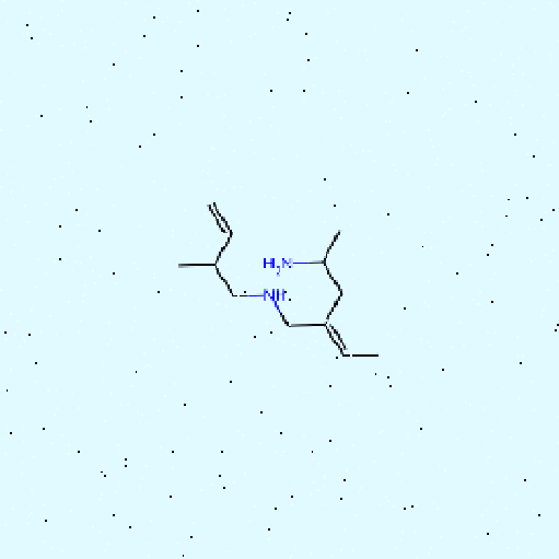 C=CC(C)CNC/C(=C/C)CC(C)N